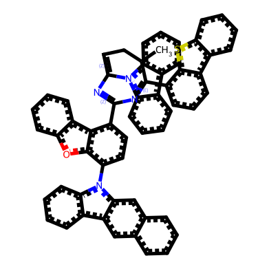 CC1C/C=C(n2c3ccccc3c3ccccc32)/N=C(c2ccc(-n3c4ccccc4c4cc5ccccc5cc43)c3oc4ccccc4c23)\N=C/1c1cccc2c1sc1ccccc12